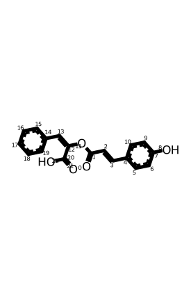 O=C(C=Cc1ccc(O)cc1)OC(=Cc1ccccc1)C(=O)O